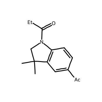 CCC(=O)N1CC(C)(C)c2cc(C(C)=O)ccc21